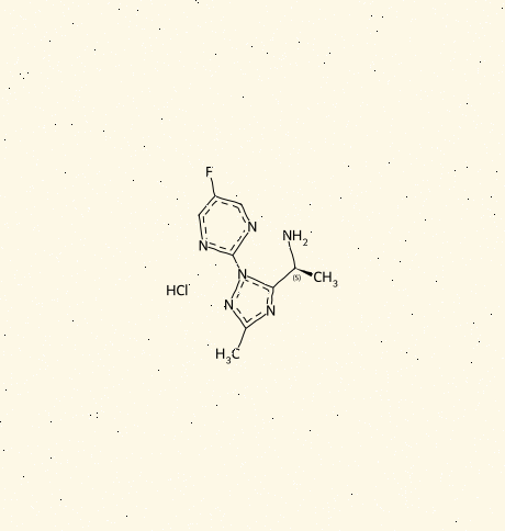 Cc1nc([C@H](C)N)n(-c2ncc(F)cn2)n1.Cl